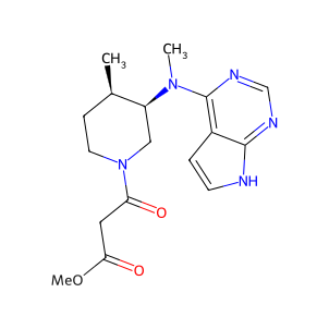 COC(=O)CC(=O)N1CC[C@@H](C)[C@@H](N(C)c2ncnc3[nH]ccc23)C1